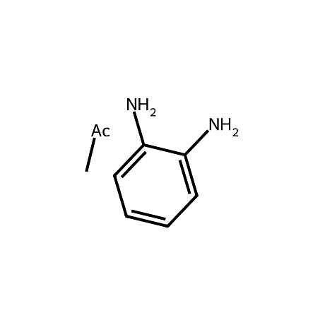 CC(C)=O.Nc1ccccc1N